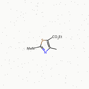 CCOC(=O)c1sc(NC)nc1C